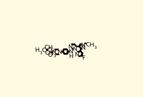 CCn1cc(-c2ccnc(Nc3ccc(N4CCN(C(=O)OC(C)(C)C)CC4)cc3)n2)c(-c2cncc(F)c2)n1